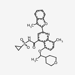 Cc1c(-c2cc(C(=O)NS(=O)(=O)C3CC3)c3c(OC(C)C4CCOCC4)ccc(C)c3n2)oc2ccccc12